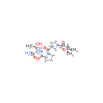 C[C@@H](O)[C@H](NC(=O)[C@@H]1CCCN1C(=O)[C@H]1CCN(C(=O)OC(C)(C)C)C1)C(N)=O